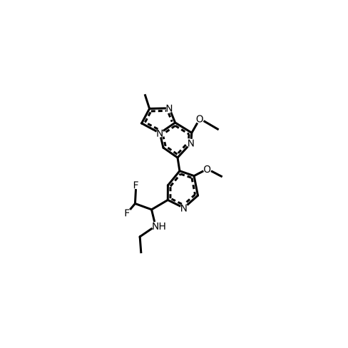 CCNC(c1cc(-c2cn3cc(C)nc3c(OC)n2)c(OC)cn1)C(F)F